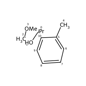 CC(C)O.COC.Cc1ccccc1